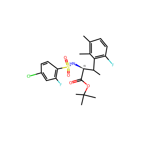 Cc1ccc(F)c(C(C)[C@H](NS(=O)(=O)c2ccc(Cl)cc2F)C(=O)OC(C)(C)C)c1C